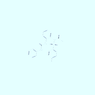 Cc1ccc(S(=O)(=O)N(C(N)=O)c2ccccc2NC(=O)Nc2ccccc2)cc1